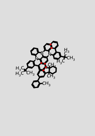 Cc1ccccc1-c1ccc2c(c1)C1(C)CCCCC1(C)N2c1cc2c3c(c1)N(c1ccc(C(C)(C)C)cc1-c1ccccc1)c1ccccc1B3c1ccccc1N2c1ccc(C(C)(C)C)cc1-c1ccccc1